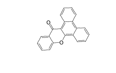 O=c1c2ccccc2oc2c3ccccc3c3ccccc3c12